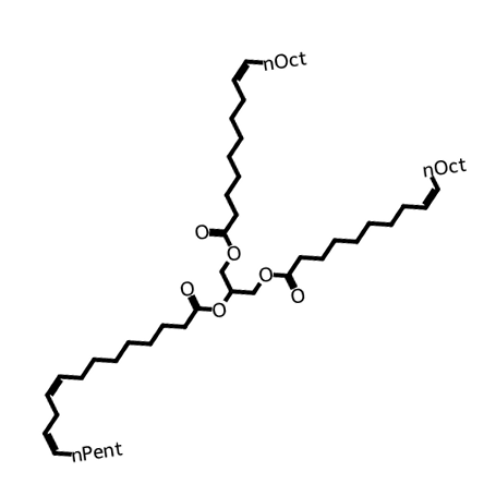 CCCCC/C=C\C/C=C\CCCCCCCC(=O)OC(COC(=O)CCCCCCC/C=C\CCCCCCCC)COC(=O)CCCCCCC/C=C\CCCCCCCC